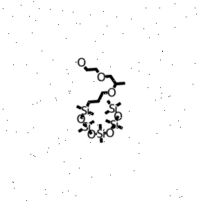 CC(COCC[O])OCCC[Si](C)(C)O[Si](C)(C)O[Si](C)(C)O[Si](C)(C)O[Si](C)(C)C